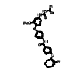 CCC(CC)NC(=O)Nc1ccc(Oc2ccc(NC(=O)c3ccc(OC45CCCC(CC4)N5C(C)C)cc3)cc2)c(OC)c1